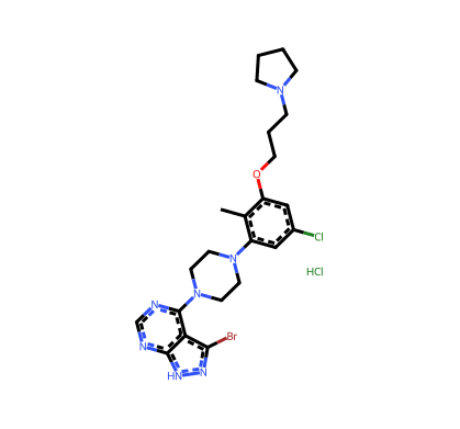 Cc1c(OCCCN2CCCC2)cc(Cl)cc1N1CCN(c2ncnc3[nH]nc(Br)c23)CC1.Cl